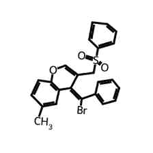 Cc1ccc2c(c1)/C(=C(\Br)c1ccccc1)C(CS(=O)(=O)c1ccccc1)=CO2